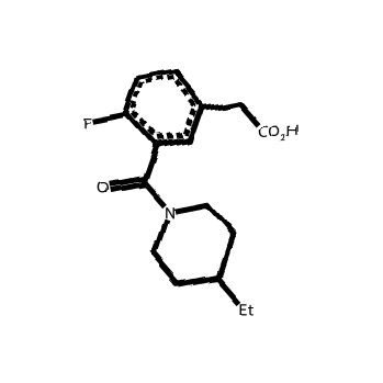 CCC1CCN(C(=O)c2cc(CC(=O)O)ccc2F)CC1